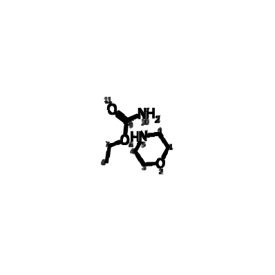 C1COCCN1.CCOC(N)=O